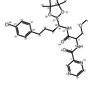 COCC(NC(=O)c1cnccn1)C(=O)N[C@@H](CCCc1ccc(Cl)cc1)B1OC(C)(C)C(C)(C)O1